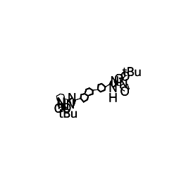 CC(C)(C)OC(=O)N1CCCC[C@H]1c1nc(-c2ccc3cc(-c4ccc(-c5cnc([C@@H]6COCCN6C(=O)OC(C)(C)C)[nH]5)cc4)ccc3c2)c[nH]1